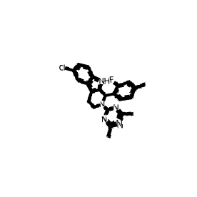 Cc1ccc(C2c3[nH]c4ccc(Cl)cc4c3CCN2c2nc(C)nc(C)n2)c(F)c1